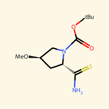 CO[C@@H]1C[C@@H](C(N)=S)N(C(=O)OC(C)(C)C)C1